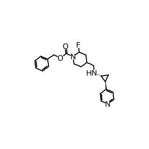 O=C(OCc1ccccc1)N1CCC(CN[C@@H]2C[C@H]2c2ccncc2)CC1F